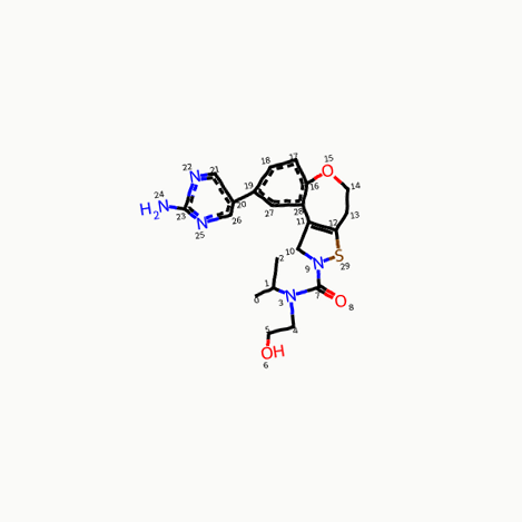 CC(C)N(CCO)C(=O)N1CC2=C(CCOc3ccc(-c4cnc(N)nc4)cc32)S1